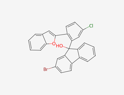 OC1(c2cc(Cl)ccc2-c2cc3ccccc3o2)c2ccccc2-c2ccc(Br)cc21